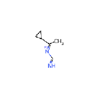 C/C(=N\C=N)C1CC1